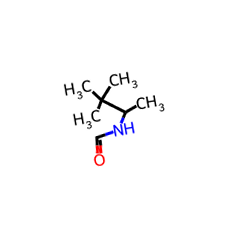 CC(NC=O)C(C)(C)C